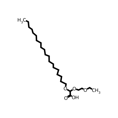 CCCCCCCCCCCCCCCCCCCCOC(OCCOCC)C(=O)O